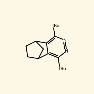 CC(C)(C)c1nnc(C(C)(C)C)c2c1C1CCC2C1